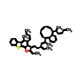 C=C/C=C\C(=C)c1ccccccc(/C(C)=C/C(=C\C)C/C=c2\c(=C/C)oc3c2c(/C=C\C=C)c(C)c2c4ccccc4sc32)c2ccccc12